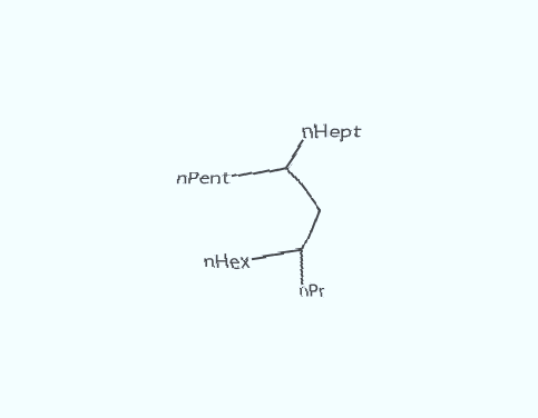 CCCCCCCC(CCCCC)CC(CCC)CCCCCC